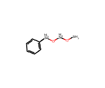 [SiH3]O[SiH2]O[SiH2]c1ccccc1